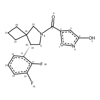 O=C(c1cc(O)no1)N1C[C@H](c2cccc(F)c2F)C2(CCC2)C1